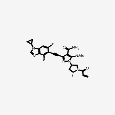 C=CC(=O)N1CC(n2nc(C#Cc3c(F)cc4c(ncn4C4CC4)c3F)c(C(N)=O)c2NC)C[C@H]1C